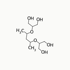 CC(CC(C)OC(CO)CO)OC(CO)CO